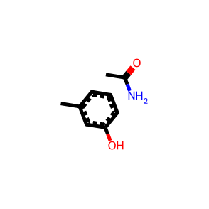 CC(N)=O.Cc1cccc(O)c1